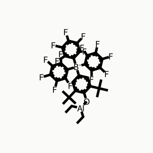 C[CH2][Al]([CH2]C)[O]c1c(C(C)(C)C)cc([B-](c2c(F)c(F)c(F)c(F)c2F)(c2c(F)c(F)c(F)c(F)c2F)c2c(F)c(F)c(F)c(F)c2F)cc1C(C)(C)C